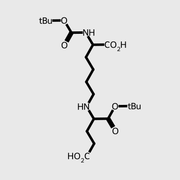 CC(C)(C)OC(=O)NC(CCCCNC(CCC(=O)O)C(=O)OC(C)(C)C)C(=O)O